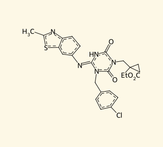 CCOC(=O)C1(Cn2c(=O)[nH]/c(=N\c3ccc4nc(C)sc4c3)n(Cc3ccc(Cl)cc3)c2=O)CC1